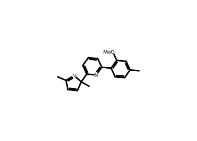 COc1cc(C)ccc1-c1cccc(C2(C)C=CC(C)=N2)n1